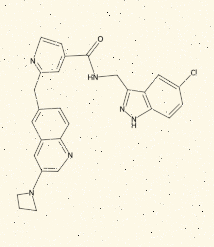 O=C(NCc1n[nH]c2ccc(Cl)cc12)c1ccnc(Cc2ccc3ncc(N4CCC4)cc3c2)c1